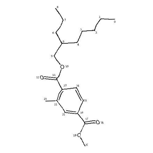 CCCCCC(CCC)COC(=O)c1ccc(C(=O)OC)cc1C